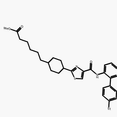 CCc1ccc(-c2ccccc2NC(=O)c2csc(C3CCC(CCCCCC(=O)OC)CC3)n2)cc1